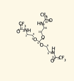 O=C(NCCOC(OCCNC(=O)C(F)(F)F)OCCNC(=O)C(F)(F)F)C(F)(F)F